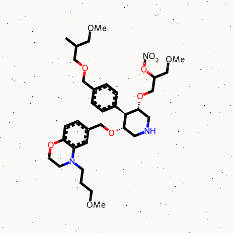 COCCCN1CCOc2ccc(CO[C@H]3CNC[C@@H](OCC(COC)O[N+](=O)[O-])[C@@H]3c3ccc(COCC(C)COC)cc3)cc21